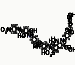 Nc1c(/N=N/c2ccc(S(=O)(=O)CCOSOOO)cc2)c(SOOO)cc2cc(S(=O)(=O)O)c(/N=N/c3ccc(NS(=O)(=O)c4ccc(/N=N/c5c(O)ccc(N=Nc6ccc([N+](=O)[O-])cc6)c5O)cc4)cc3)c(O)c12